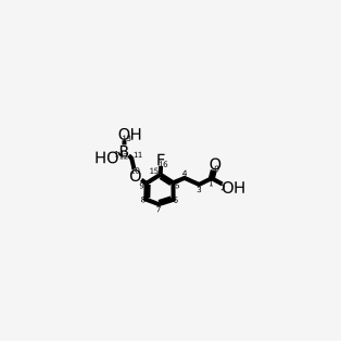 O=C(O)CCc1cccc(OCB(O)O)c1F